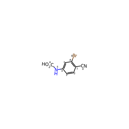 N#Cc1ccc(NC(=O)O)cc1Br